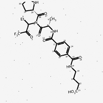 CCC(C(=O)C(F)(F)F)N(C(=O)[C@H](C)NC(=O)c1ccc(C(=O)NCCCC(=O)O)cc1)C(=O)[C@@H]1CCCN1